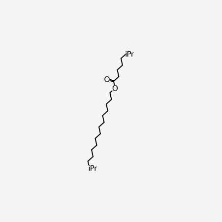 CC(C)CCCCCCCCCCCCCOC(=O)CCCCC(C)C